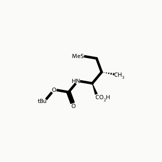 CSC[C@H](C)[C@H](NC(=O)OC(C)(C)C)C(=O)O